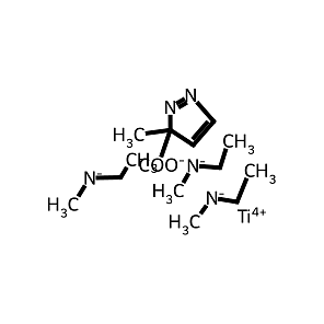 CC1(C(=O)[O-])C=CN=N1.CC[N-]C.CC[N-]C.CC[N-]C.[Ti+4]